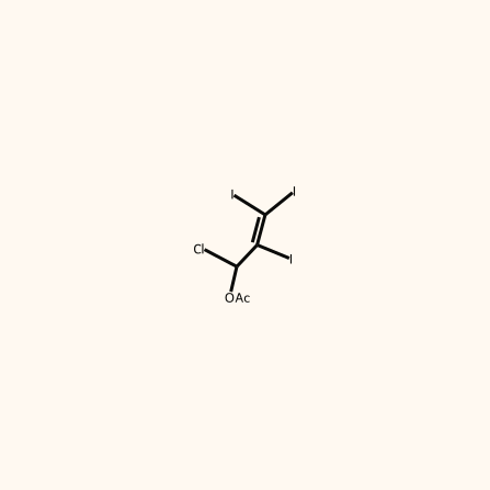 CC(=O)OC(Cl)C(I)=C(I)I